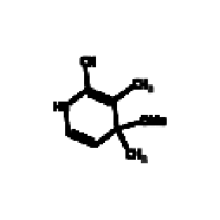 COC1(C)C=CNC(C#N)=C1C